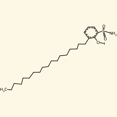 CCCCCCCCCCCCCCCCCCc1cccc(S(N)(=O)=O)c1OI